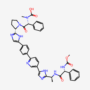 COC(=O)N[C@@H](C(=O)N[C@@H](C)c1ncc(-c2ccc(-c3ccc(-c4cnc([C@@H]5CCCN5C(=O)[C@@H](c5ccccc5)N(C)C(=O)O)[nH]4)cc3)nc2)[nH]1)c1ccccc1